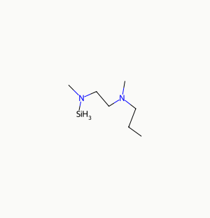 CCCN(C)CCN(C)[SiH3]